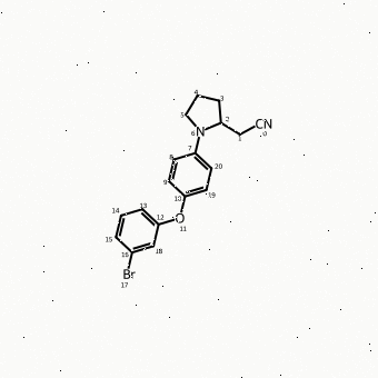 N#CCC1CCCN1c1ccc(Oc2cccc(Br)c2)cc1